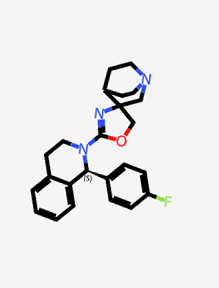 Fc1ccc([C@H]2c3ccccc3CCN2C2=NC3(CO2)CN2CCC3CC2)cc1